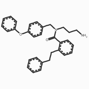 NCCCN(Cc1ccc(Oc2ccccc2)cc1)C(=O)c1ccccc1CCc1ccccc1